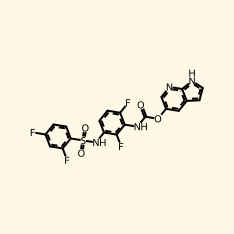 O=C(Nc1c(F)ccc(NS(=O)(=O)c2ccc(F)cc2F)c1F)Oc1cnc2[nH]ccc2c1